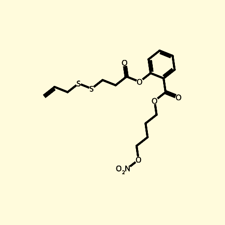 C=CCSSCCC(=O)Oc1ccccc1C(=O)OCCCCO[N+](=O)[O-]